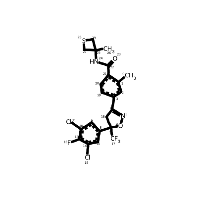 Cc1cc(C2=NOC(c3cc(Cl)c(F)c(Cl)c3)(C(F)(F)F)C2)ccc1C(=O)NC1(C)CSC1